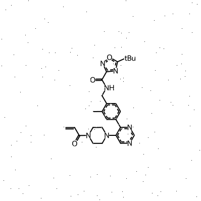 C=CC(=O)N1CCN(c2cncnc2-c2ccc(CNC(=O)c3noc(C(C)(C)C)n3)c(C)c2)CC1